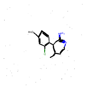 COc1ccc(-c2c(C)ccnc2N)c(Cl)c1